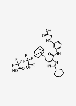 O=C(O)C(F)(F)F.O=C(O)C(F)(F)F.O=C(O)CNc1cccc(NC(=O)c2nc(C3CCCCC3)[nH]c2CCC23CC4CC(CC(C4)C2)C3)c1